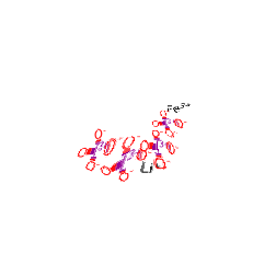 [Fe+3].[Li+].[O-][I+3]([O-])([O-])[O-].[O-][I+3]([O-])([O-])[O-].[O-][I+3]([O-])([O-])[O-].[O-][I+3]([O-])([O-])[O-]